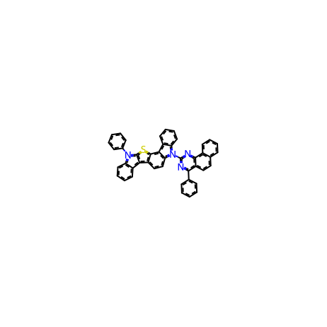 c1ccc(-c2nc(-n3c4ccccc4c4c5sc6c(c5ccc43)c3ccccc3n6-c3ccccc3)nc3c2ccc2ccccc23)cc1